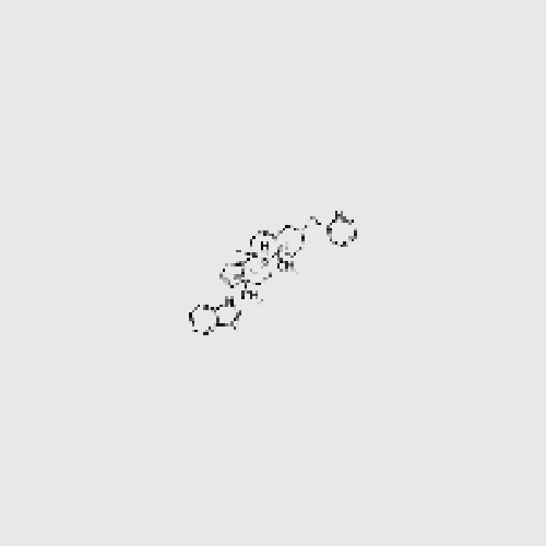 C[C@]12CCC(Oc3ccccn3)CC1=CC[C@@H]1[C@@H]2CC[C@]2(C)C(n3cnc4ccccc43)=CC[C@@H]12